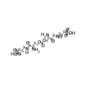 NC(COC(=O)OCCC(N)C(=O)NCCCS(=O)(=O)O)C(=O)CNCCCS(=O)(=O)O